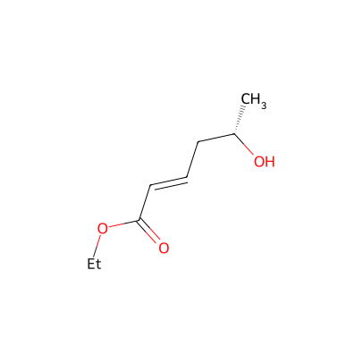 CCOC(=O)/C=C/C[C@H](C)O